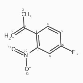 C=C(C)c1ccc(F)cc1[N+](=O)[O-]